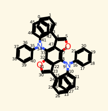 c1ccc(-c2coc3c(N(c4ccccc4)c4ccccc4)c4c(-c5ccccc5)coc4c(N(c4ccccc4)c4ccccc4)c23)cc1